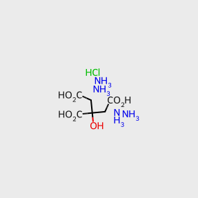 Cl.N.N.N.N.O=C(O)CC(O)(CC(=O)O)C(=O)O